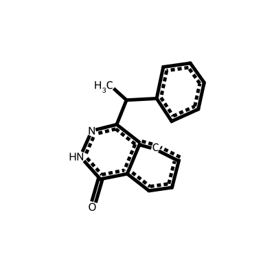 CC(c1ccccc1)c1n[nH]c(=O)c2ccccc12